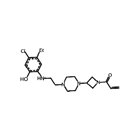 C=CC(=O)N1CC(N2CCN(CCNc3cc(CC)c(Cl)cc3O)CC2)C1